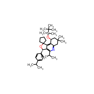 CC(C)c1ccc([C@H]2OC3(CCCC3)c3c2c(C(C)C)nc2c3[C@@H](O[Si](C)(C)C(C)(C)C)CC(C)(C)C2)cc1